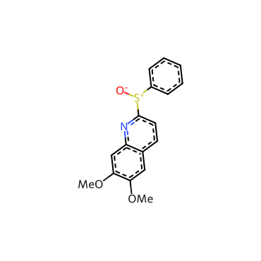 COc1cc2ccc([S+]([O-])c3ccccc3)nc2cc1OC